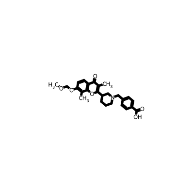 COCOc1ccc2c(=O)c(C)c(C3CCCN(Cc4ccc(C(=O)O)cc4)C3)oc2c1C